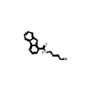 O=C(NCCCCBr)c1cccc2c1Cc1ccccc1-2